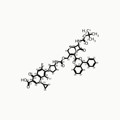 CC(C)(C)OC(=O)NC1C(=O)N2C(C(=O)OC(c3ccccc3)c3ccccc3)=C(COC(=O)NC3CCN(c4c(F)cc5c(=O)c(C(=O)O)cn(C6CC6)c5c4F)C3)CSC12